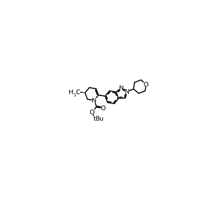 C[C@H]1CC=C(c2ccc3cn(C4CCOCC4)nc3c2)N(C(=O)OC(C)(C)C)C1